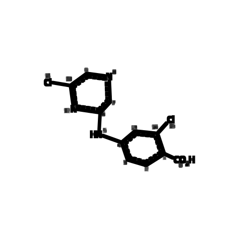 O=C(O)c1ccc(Nc2cncc(Cl)n2)cc1Cl